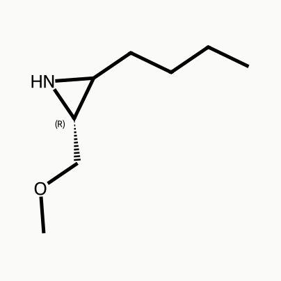 CCCCC1N[C@H]1COC